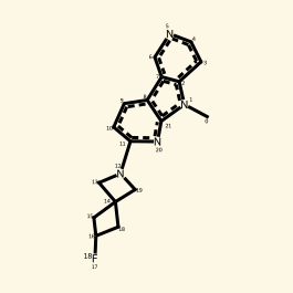 Cn1c2ccncc2c2ccc(N3CC4(CC([18F])C4)C3)nc21